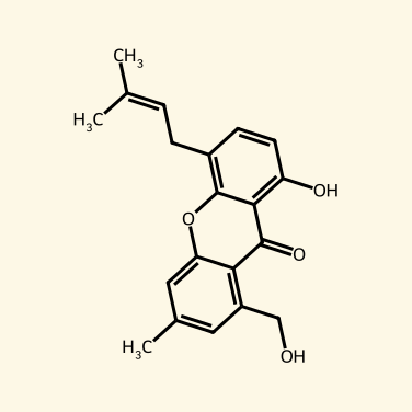 CC(C)=CCc1ccc(O)c2c(=O)c3c(CO)cc(C)cc3oc12